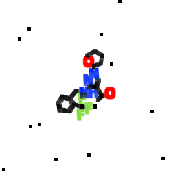 CC(=O)c1cn(C2CCCCO2)nc1NCc1ccccc1C(F)(F)F